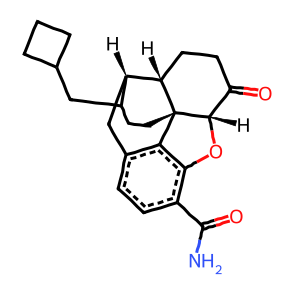 NC(=O)c1ccc2c3c1O[C@H]1C(=O)CC[C@H]4[C@@H](C2)C(CC2CCC2)CC[C@]314